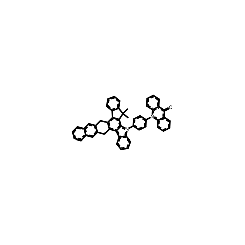 CC1(C)c2ccccc2-c2c3c(c4c5ccccc5n(-c5ccc(-n6c7ccccc7c(=O)c7ccccc76)cc5)c4c21)Cc1cc2ccccc2cc1C3